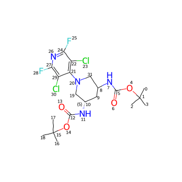 CC(C)(C)OC(=O)NC1C[C@H](NC(=O)OC(C)(C)C)CN(c2c(Cl)c(F)nc(F)c2Cl)C1